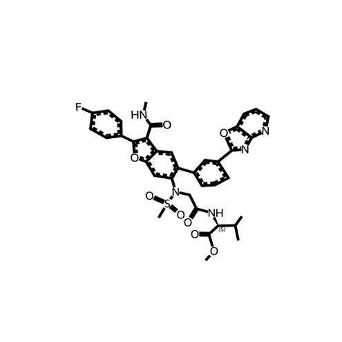 CNC(=O)c1c(-c2ccc(F)cc2)oc2cc(N(CC(=O)N[C@H](C(=O)OC)C(C)C)S(C)(=O)=O)c(-c3cccc(-c4nc5ncccc5o4)c3)cc12